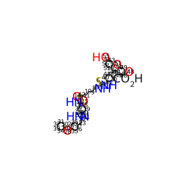 O=C(O)c1cc(NC(=S)NCCCCCS(=O)(=O)Nc2ccc3nc(Cc4ccc(Oc5ccccc5)cc4)[nH]c3c2)ccc1-c1c2ccc(=O)cc-2oc2cc(O)ccc12